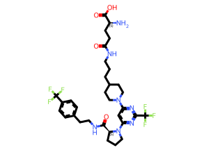 N[C@@H](CCC(=O)NCCCC1CCN(c2cc(N3CCC[C@H]3C(=O)NCCc3ccc(C(F)(F)F)cc3)nc(C(F)(F)F)n2)CC1)C(=O)O